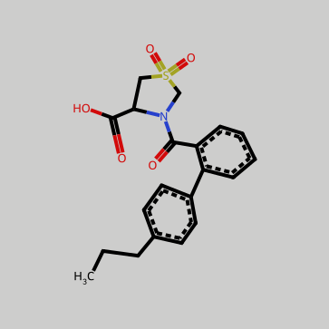 CCCc1ccc(-c2ccccc2C(=O)N2CS(=O)(=O)CC2C(=O)O)cc1